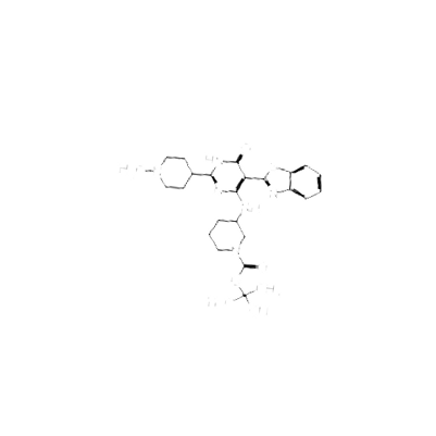 CN1CCC(c2nc(NC3CCCN(C(=O)OC(C)(C)C)C3)c(-c3nc4ccccc4s3)c(=O)[nH]2)CC1